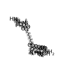 CC1Sc2c(C(=O)OCCCCCCCCCC(=O)Oc3ccc(N(C)C)c4c3C(=O)C3=C(O)[C@@]5(O)C(=O)C(C(N)=O)=C(O)[C@H](N(C)C)[C@H]5C[C@H]3C4)c(=O)c3cc(F)c(N4CCNCC4)cc3n21